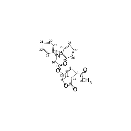 CC(=O)C1C2CC3C(OC(=O)C31)C2OC(=O)CN(c1ccccc1)c1ccccc1